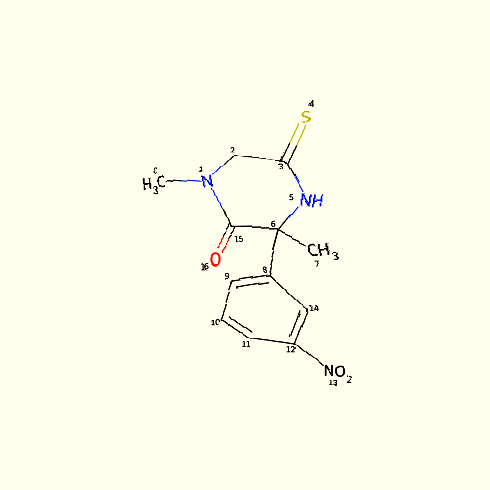 CN1CC(=S)NC(C)(c2cccc([N+](=O)[O-])c2)C1=O